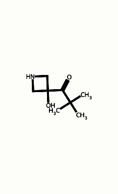 CC(C)(C)C(=O)C1(O)CNC1